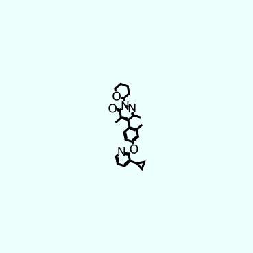 Cc1cc(Oc2ncccc2C2CC2)ccc1-c1c(C)nn(C2CCCCO2)c(=O)c1C